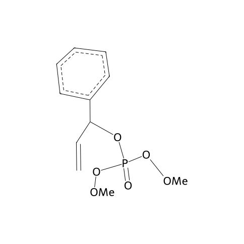 C=CC(OP(=O)(OOC)OOC)c1ccccc1